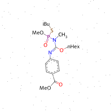 CCCCCCOC(=Nc1ccc(C(=O)OC)cc1)N(C)P(=O)(OC)SC(C)CC